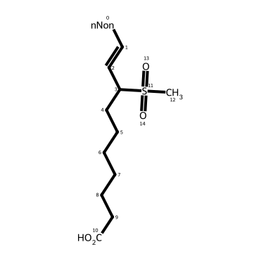 CCCCCCCCC/C=C/C(CCCCCCC(=O)O)S(C)(=O)=O